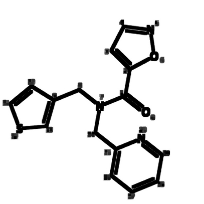 O=C(c1ccno1)N(Cc1ccsc1)Cc1ccccn1